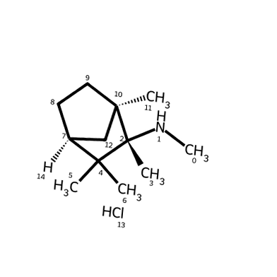 CN[C@]1(C)C(C)(C)[C@H]2CC[C@]1(C)C2.Cl